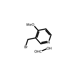 COc1ccncc1CBr.O=CO